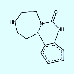 O=C1Nc2ccccc2N2CCNCCN12